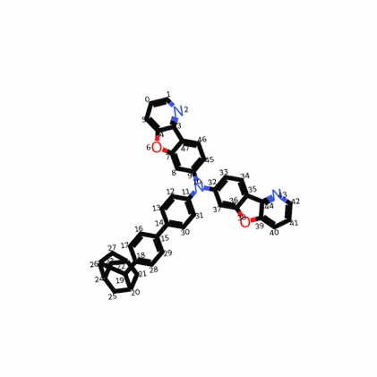 c1cnc2c(c1)oc1cc(N(c3ccc(-c4ccc(C5C6CC7CC(C6)C5C7)cc4)cc3)c3ccc4c(c3)oc3cccnc34)ccc12